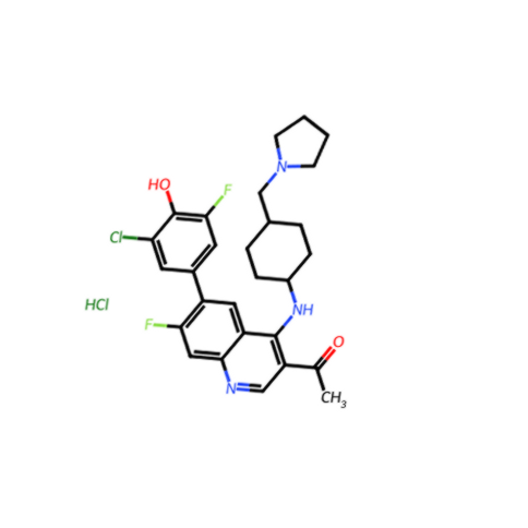 CC(=O)c1cnc2cc(F)c(-c3cc(F)c(O)c(Cl)c3)cc2c1NC1CCC(CN2CCCC2)CC1.Cl